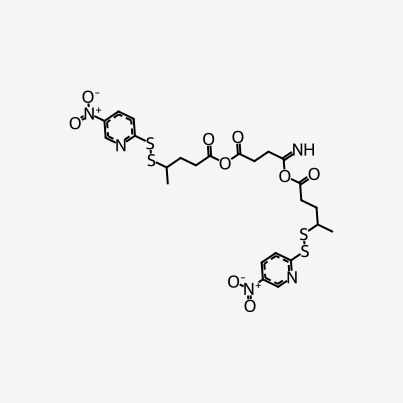 CC(CCC(=O)OC(=N)CCC(=O)OC(=O)CCC(C)SSc1ccc([N+](=O)[O-])cn1)SSc1ccc([N+](=O)[O-])cn1